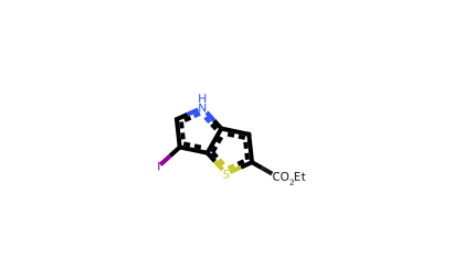 CCOC(=O)c1cc2[nH]cc(I)c2s1